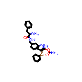 NC(=O)Oc1[nH]c2cc(CNC(=O)C(N)Cc3ccccc3)ccc2c1Sc1ccccc1